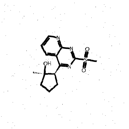 C[C@@]1(O)CCC[C@@H]1c1nc(S(C)(=O)=O)nc2ncccc12